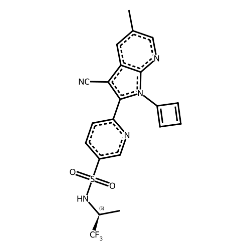 Cc1cnc2c(c1)c(C#N)c(-c1ccc(S(=O)(=O)N[C@@H](C)C(F)(F)F)cn1)n2C1=CC=C1